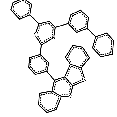 c1ccc(-c2cccc(-c3cc(-c4ccccc4)nc(-c4cccc(-c5c6ccccc6nc6sc7ccccc7c56)c4)n3)c2)cc1